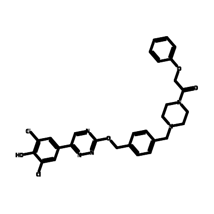 O=C(COc1ccccc1)N1CCN(Cc2ccc(COc3ncc(-c4cc(Cl)c(O)c(Cl)c4)nn3)cc2)CC1